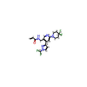 C=CC(=O)NCc1cnc(N2CCC(F)(F)CC2)cc1-c1ccn(C(F)F)n1